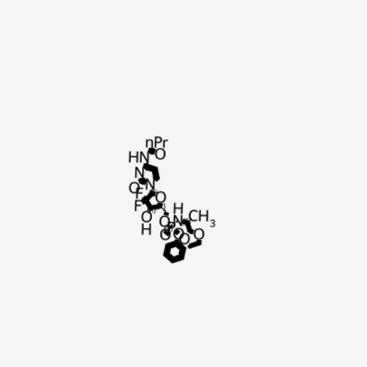 CCCC(=O)Nc1ccn([C@@H]2O[C@H](CO[P@@](=O)(N[C@@H](C)C3OCCO3)Oc3ccccc3)[C@@H](O)C2(F)F)c(=O)n1